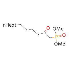 CCCCCCCCCCCC(=O)CP(=O)(OC)OC